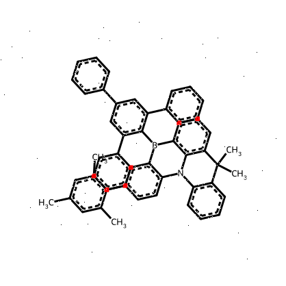 Cc1cc(C)c(-c2ccc3c(c2)B(c2c(-c4ccccc4)cc(-c4ccccc4)cc2-c2ccccc2)c2cccc4c2N3c2ccccc2C4(C)C)c(C)c1